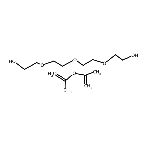 C=C(C)OC(=C)C.OCCOCCOCCOCCO